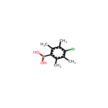 Cc1c(C)c(B(O)O)c(C)c(C)c1Br